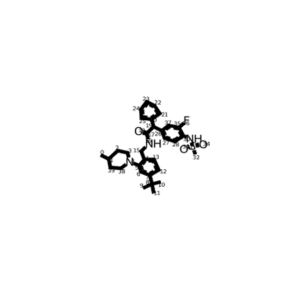 CC1CCN(c2cc(C(C)(C)C)ccc2CNC(=O)C(c2ccccc2)c2ccc(NS(C)(=O)=O)c(F)c2)CC1